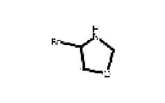 BrC1[CH]OCN1